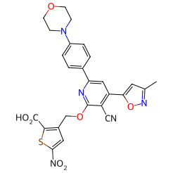 Cc1cc(-c2cc(-c3ccc(N4CCOCC4)cc3)nc(OCc3cc([N+](=O)[O-])sc3C(=O)O)c2C#N)on1